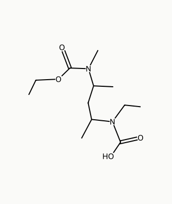 CCOC(=O)N(C)C(C)CC(C)N(CC)C(=O)O